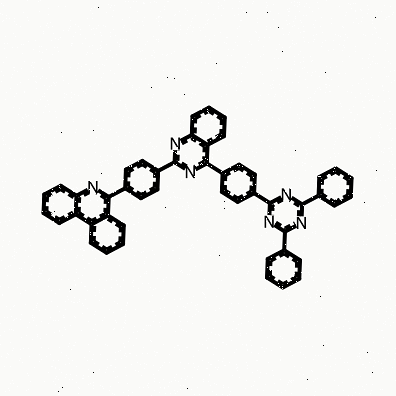 c1ccc(-c2nc(-c3ccccc3)nc(-c3ccc(-c4nc(-c5ccc(-c6nc7ccccc7c7ccccc67)cc5)nc5ccccc45)cc3)n2)cc1